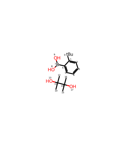 CC(C)(C)c1ccccc1B(O)O.CC(C)(O)C(C)(C)O